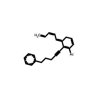 C=C/C=C\C=C1/CC=CC(C(C)=O)=C1C#CCCCc1ccccc1